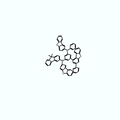 CC1(C)c2ccccc2-c2cc(N(c3cc(-c4cc(-c5ccccc5)cc5sc6ccccc6c45)cc(N(c4ccccc4)c4ccc5oc6ccccc6c5c4)c3)c3ccc4oc5ccccc5c4c3)ccc21